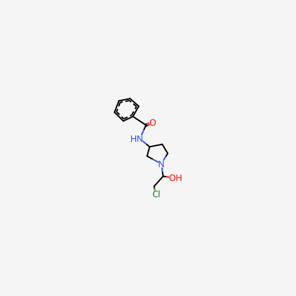 O=C(NC1CCN(C(O)CCl)C1)c1ccccc1